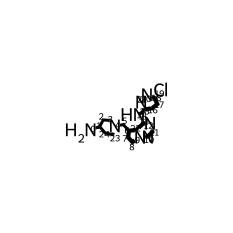 NC1CCN(Cc2ccn3ncnc(Nc4ccc(Cl)nn4)c23)CC1